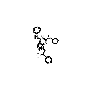 ClC(Cn1ncc2c(Nc3ccccc3)nc(SC3CCCC3)nc21)c1ccccc1